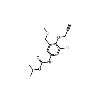 C#CCOc1c(Cl)cc(NC(=O)OC(C)C)cc1COC